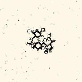 Cc1nc2ccc(C(=O)N3C(C(C)O)C#CS3(=O)=O)cc2n1Cc1ccc(Cl)cc1Cl